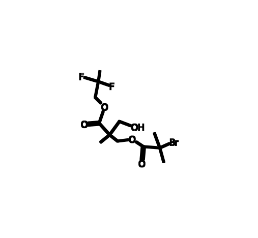 CC(F)(F)COC(=O)C(C)(CO)COC(=O)C(C)(C)Br